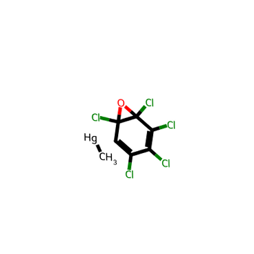 ClC1=CC2(Cl)OC2(Cl)C(Cl)=C1Cl.[CH3][Hg]